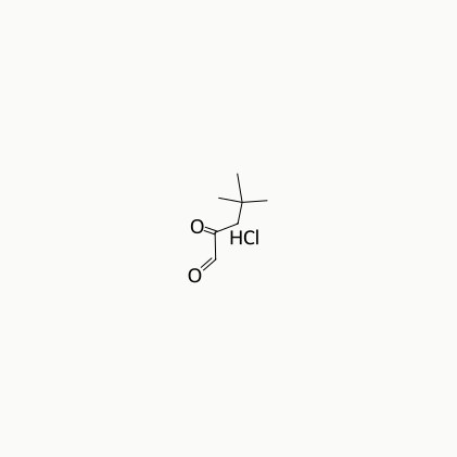 CC(C)(C)CC(=O)C=O.Cl